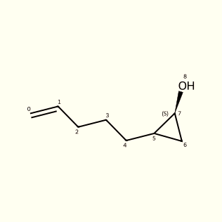 C=CCCCC1C[C@@H]1O